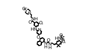 C=C(OC)/C(=C\C(=C/CNC(=O)Nc1ccc(Oc2ccnc(Nc3cc(OC)cc(C(=O)NCCN4CC[S+]([O-])CC4)c3)c2)c2ccccc12)C(C)(C)C)NS(C)(=O)=O